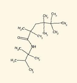 CC(C)C(C)(C)NC(=O)C(C)(C)CC(C)(C)C(C)(C)C